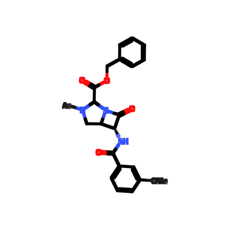 COc1cccc(C(=O)N[C@H]2C(=O)N3C2CN(C(C)=O)C3C(=O)OCc2ccccc2)c1